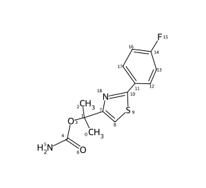 CC(C)(OC(N)=O)c1csc(-c2ccc(F)cc2)n1